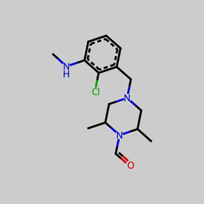 CNc1cccc(CN2CC(C)N(C=O)C(C)C2)c1Cl